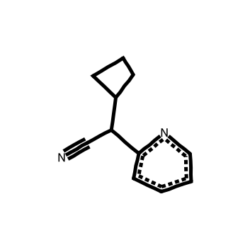 N#CC(c1ccccn1)C1CCC1